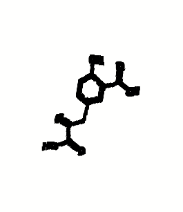 O=C(O)C(=O)Cc1ccc(O)c(C(=O)O)c1